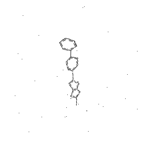 Cc1cc2sc(-c3ccc(-c4ccccc4)cc3)cc2s1